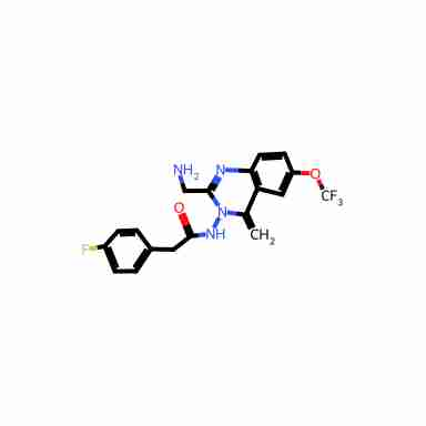 C=C1c2cc(OC(F)(F)F)ccc2N=C(CN)N1NC(=O)Cc1ccc(F)cc1